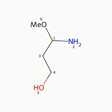 COC(N)CCO